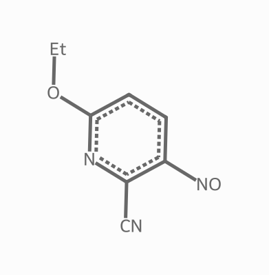 CCOc1ccc(N=O)c(C#N)n1